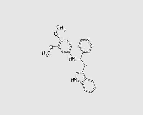 COc1ccc(NC([CH]c2c[nH]c3ccccc23)c2ccccc2)cc1OC